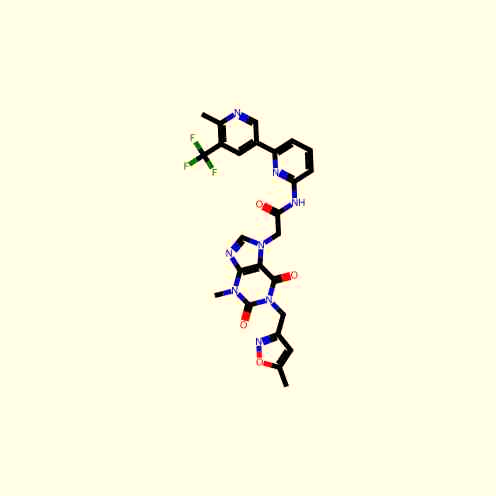 Cc1cc(Cn2c(=O)c3c(ncn3CC(=O)Nc3cccc(-c4cnc(C)c(C(F)(F)F)c4)n3)n(C)c2=O)no1